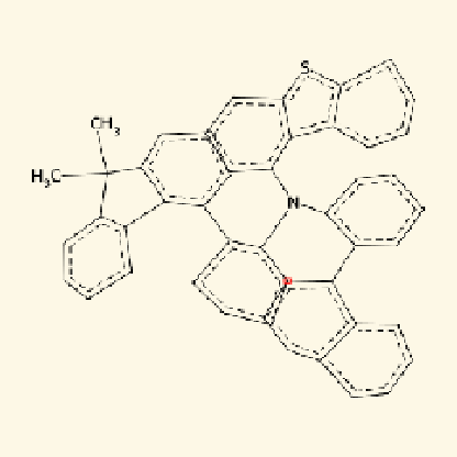 CC1(C)c2ccccc2-c2c(-c3ccccc3N(c3ccccc3-c3cccc4ccccc34)c3cccc4sc5ccccc5c34)cccc21